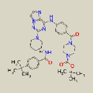 CC(C)(C)OC(=O)N1CCN(C(=O)c2ccc(Nc3nc(N4CCC[C@@H](NC(=O)c5ccc(C(C)(C)C)cc5)C4)nn4ccnc34)cc2)CC1